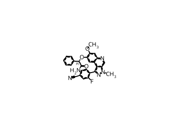 COc1cc2ncc3c(c(-c4ccc(C#N)cc4F)nn3C)c2cc1O[C@@H](C(N)=O)c1ccccc1